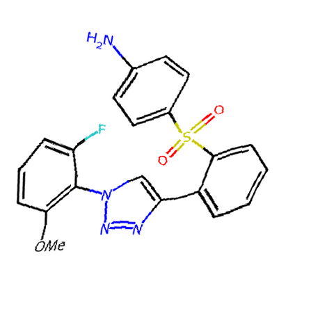 COc1cccc(F)c1-n1cc(-c2ccccc2S(=O)(=O)c2ccc(N)cc2)nn1